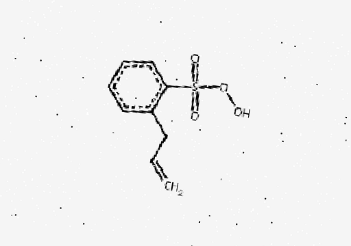 C=CCc1ccccc1S(=O)(=O)OO